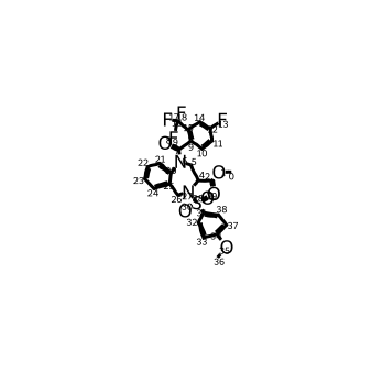 COC(=O)C1CN(C(=O)c2ccc(F)cc2C(F)(F)F)c2ccccc2CN1S(=O)(=O)c1ccc(OC)cc1